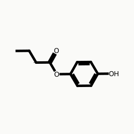 CC[CH]C(=O)Oc1ccc(O)cc1